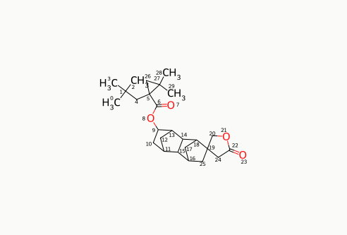 CC(C)(C)CC1(C(=O)OC2CC3CC2C2C3C3CC2C2(COC(=O)C2)C3)CC1(C)C